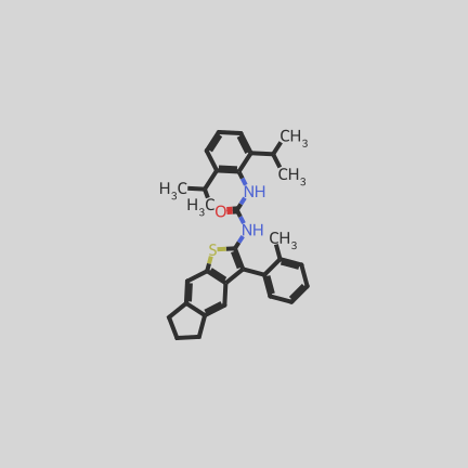 Cc1ccccc1-c1c(NC(=O)Nc2c(C(C)C)cccc2C(C)C)sc2cc3c(cc12)CCC3